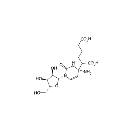 NC1(C(CCCC(=O)O)C(=O)O)C=CN([C@@H]2O[C@H](CO)[C@@H](O)[C@H]2O)C(=O)N1